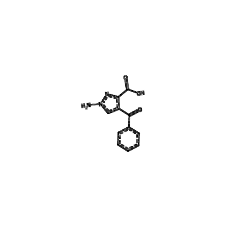 Nn1cc(C(=O)c2ccccc2)c(C(=O)O)n1